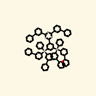 c1ccc(-c2cccc(-c3nc(-c4cccc(-c5ccccc5)c4)nc(-c4cc([Si](c5ccccc5)(c5cccc(-c6ccccc6)c5)c5cccc(-c6ccccc6)c5)cc([Si](c5ccccc5)(c5cccc(-c6ccccc6)c5)c5cccc(-c6ccccc6)c5)c4)n3)c2)cc1